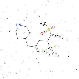 C=C(C(C/C(=C\C)CC1CCNCC1)C(C)(F)F)S(C)(=O)=O